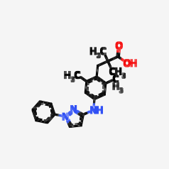 Cc1cc(Nc2ccn(-c3ccccc3)n2)cc(C)c1CC(C)(C)C(=O)O